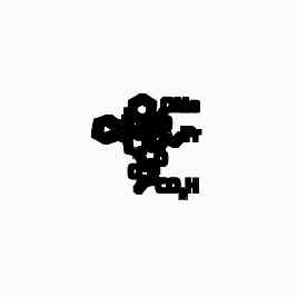 COC(=O)C1(NC(=O)N(C(=O)[C@@H](N)CC(C)C)[C@H](Cc2cn(C)c3ccccc23)c2nc(C(=O)O)c(C)o2)CCCCC1